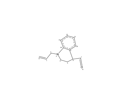 C=CCN1CCC(C=O)c2ccccc21